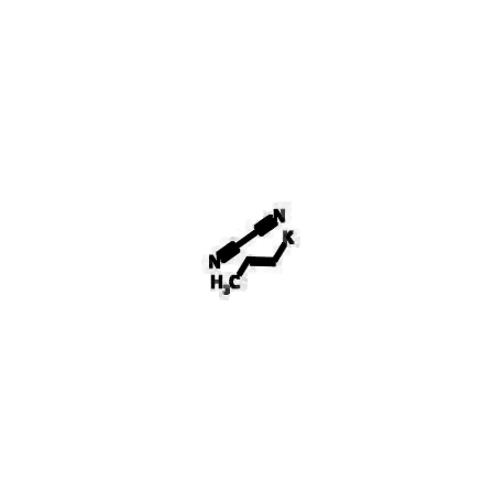 CC=[CH][K].N#CC#N